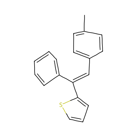 Cc1ccc(/C=C(\c2ccccc2)c2cccs2)cc1